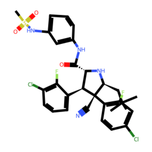 CC(C)(C)C[C@@H]1N[C@@H](C(=O)Nc2cccc(NS(C)(=O)=O)c2)[C@H](c2cccc(Cl)c2F)[C@@]1(C#N)c1ccc(Cl)cc1F